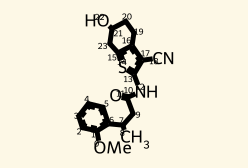 COc1ccccc1C(C)CC(=O)Nc1sc2c(c1C#N)CCC(O)C2